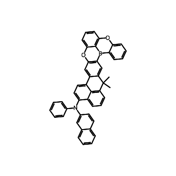 CC1(C)c2cc3c(cc2-c2ccc(N(c4ccccc4)c4ccc5ccccc5c4)c4cccc1c24)Oc1cccc2c1B3c1ccccc1O2